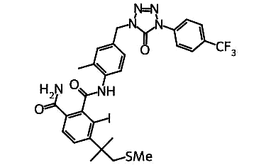 CSCC(C)(C)c1ccc(C(N)=O)c(C(=O)Nc2ccc(Cn3nnn(-c4ccc(C(F)(F)F)cc4)c3=O)cc2C)c1I